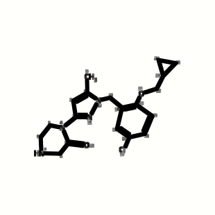 Cc1cc(N2CCNCC2=O)nn1Cc1cc(Cl)ccc1OCC1CC1